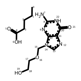 CCCCC(=O)O.Nc1nc2c(ncn2COCCO)c(=O)[nH]1